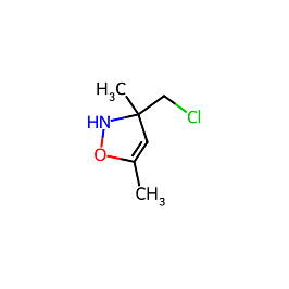 CC1=CC(C)(CCl)NO1